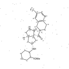 COC1COCCC1N[C@@H]1C[C@H]2CNC(=O)[C@@]2(C(=O)N2CCc3ncc(C(F)(F)F)cc3C2)C1